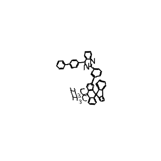 CC1(C)c2ccccc2C2(c3ccccc3-c3ccccc32)c2cc(-c3cccc(-c4nc(-c5ccc(-c6ccccc6)cc5)c5ccccc5n4)c3)ccc21